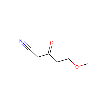 COCCC(=O)CC#N